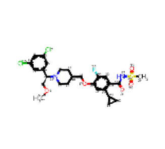 COC[C@@H](c1cc(Cl)cc(Cl)c1)N1CCC(COc2cc(C3CC3)c(C(=O)NS(C)(=O)=O)cc2F)CC1